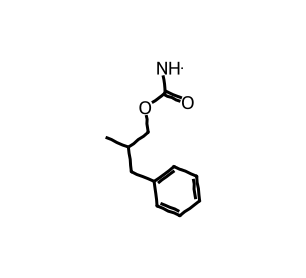 CC(COC([NH])=O)Cc1ccccc1